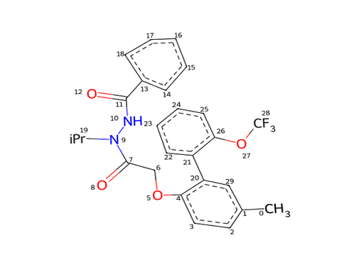 Cc1ccc(OCC(=O)N(NC(=O)c2ccccc2)C(C)C)c(-c2ccccc2OC(F)(F)F)c1